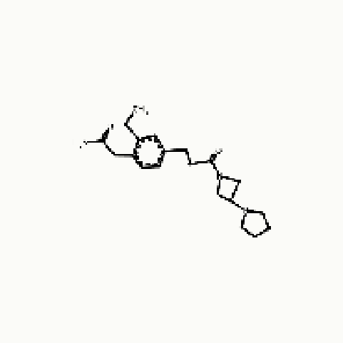 CCc1cc(C[CH]C(=O)N2CC(N3CCCC3)C2)ccc1CC(N)=O